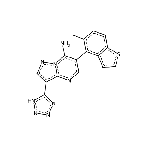 Cc1ccc2sccc2c1-c1cnc2c(-c3nnn[nH]3)cnn2c1N